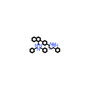 N=C(/C=C\C(=N)c1ccc(-c2ccc3ccccc3c2-c2nc(-c3ccccc3)nc(-c3ccccc3)n2)cc1)c1ccccc1